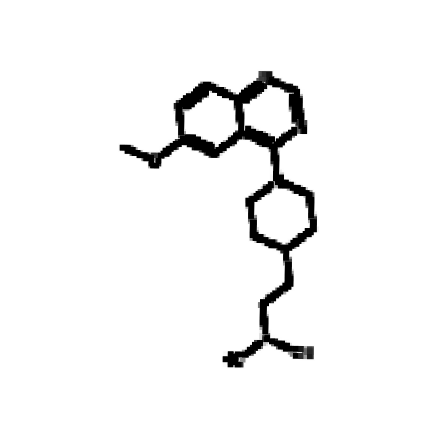 COc1ccc2ncnc(N3CCC(CCP(O)O)CC3)c2c1